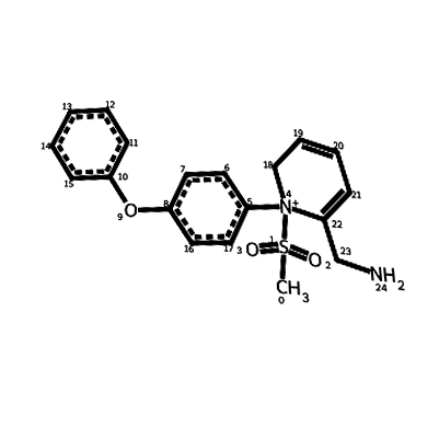 CS(=O)(=O)[N+]1(c2ccc(Oc3ccccc3)cc2)CC=CC=C1CN